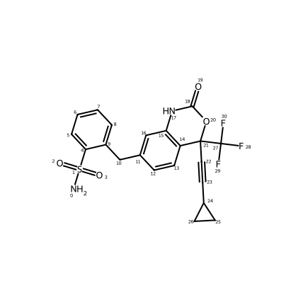 NS(=O)(=O)c1ccccc1Cc1ccc2c(c1)NC(=O)OC2(C#CC1CC1)C(F)(F)F